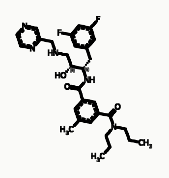 CCCN(CCC)C(=O)c1cc(C)cc(C(=O)N[C@@H](Cc2cc(F)cc(F)c2)[C@H](O)CNCc2cnccn2)c1